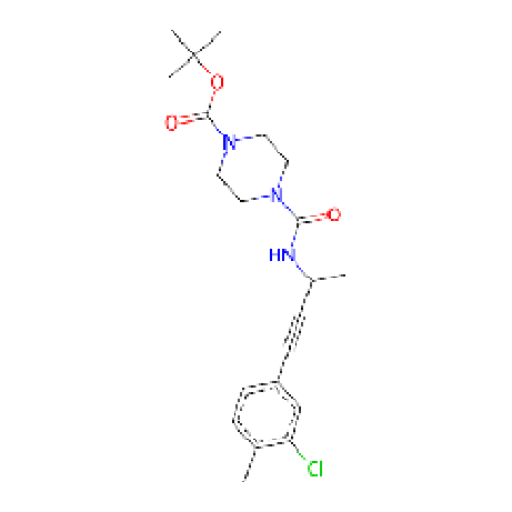 Cc1ccc(C#CC(C)NC(=O)N2CCN(C(=O)OC(C)(C)C)CC2)cc1Cl